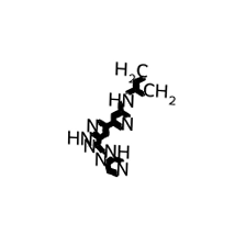 C=C/C=C(\C=C)CNCc1cncc(-c2cnc3[nH]nc(-c4nc5ccncc5[nH]4)c3c2)c1